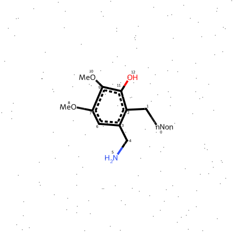 [CH2]CCCCCCCCCc1c(CN)cc(OC)c(OC)c1O